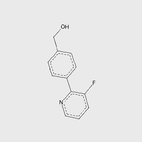 OCc1ccc(-c2ncccc2F)cc1